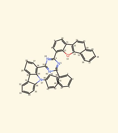 c1ccc(-c2nc(-c3cccc4c3oc3c5ccccc5ccc43)nc(-c3cccc4c5ccccc5n(-c5ccccc5)c34)n2)cc1